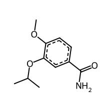 COc1ccc(C(N)=O)cc1OC(C)C